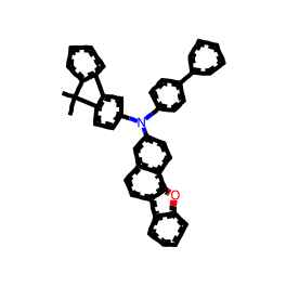 CC1(C)c2ccccc2-c2cc(N(c3ccc(-c4ccccc4)cc3)c3ccc4c(ccc5c6ccccc6oc45)c3)ccc21